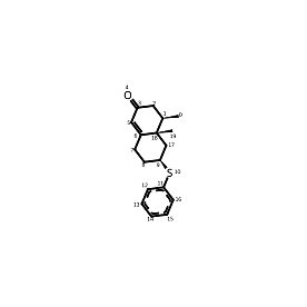 C[C@@H]1CC(=O)C=C2CC[C@H](Sc3ccccc3)C[C@]21C